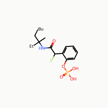 CCC(C)CC(C)(CC)NC(=O)C(F)c1ccccc1OP(=O)(O)O